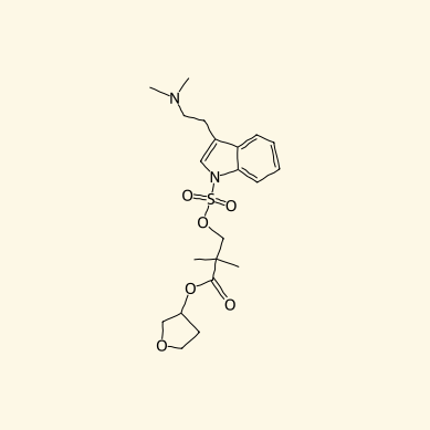 CN(C)CCc1cn(S(=O)(=O)OCC(C)(C)C(=O)OC2CCOC2)c2ccccc12